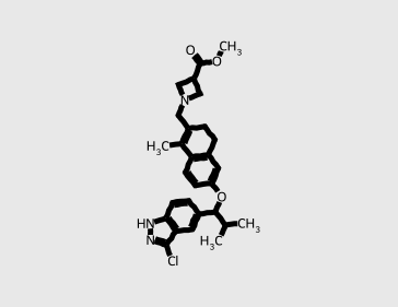 COC(=O)C1CN(CC2=C(C)c3ccc(OC(c4ccc5[nH]nc(Cl)c5c4)C(C)C)cc3CC2)C1